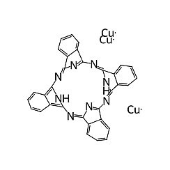 [Cu].[Cu].[Cu].c1ccc2c(c1)-c1nc-2nc2[nH]c(nc3nc(nc4[nH]c(n1)c1ccccc41)-c1ccccc1-3)c1ccccc21